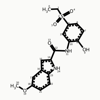 CCS(=O)(=O)c1ccc(O)c(NC(=O)c2cc3cc(OC)ccc3[nH]2)c1